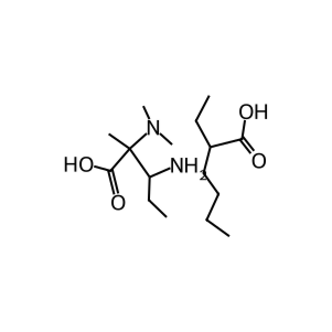 CCC(N)C(C)(C(=O)O)N(C)C.CCCCC(CC)C(=O)O